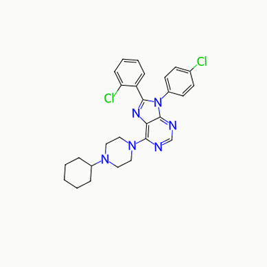 Clc1ccc(-n2c(-c3ccccc3Cl)nc3c(N4CCN(C5CCCCC5)CC4)ncnc32)cc1